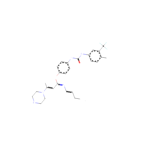 CC/C=C/N=C(\C=C(/C)N1CCNCC1)Oc1ccc(NC(=O)Nc2ccc(C)c(C(F)(F)F)c2)cc1